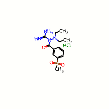 CCN(CC)N(C(=N)N)C(=O)c1cccc(S(C)(=O)=O)c1.Cl